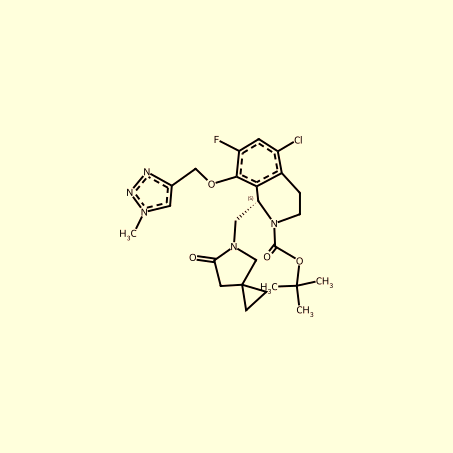 Cn1cc(COc2c(F)cc(Cl)c3c2[C@@H](CN2CC4(CC4)CC2=O)N(C(=O)OC(C)(C)C)CC3)nn1